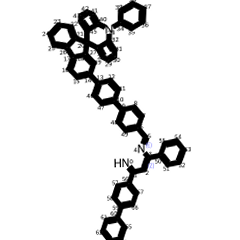 N=C(/C=C(\N=C\c1ccc(-c2ccc(-c3ccc4c(c3)C3(c5ccccc5-4)c4ccccc4N(c4ccccc4)c4ccccc43)cc2)cc1)c1ccccc1)c1ccc(-c2ccccc2)cc1